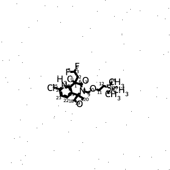 CC1(CC(F)F)C(=O)N(COCC[Si](C)(C)C)C2(COC2)c2ccc(Cl)nc21